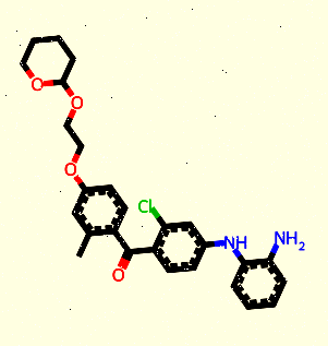 Cc1cc(OCCOC2CCCCO2)ccc1C(=O)c1ccc(Nc2ccccc2N)cc1Cl